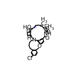 C[C@H]1C/C=C/[C@H](O)[C@@H]2CC[C@H]2CN2CCCCc3cc(Cl)ccc3COc3ccc(cc32)C(=O)NS(=O)(=O)[C@H]1C